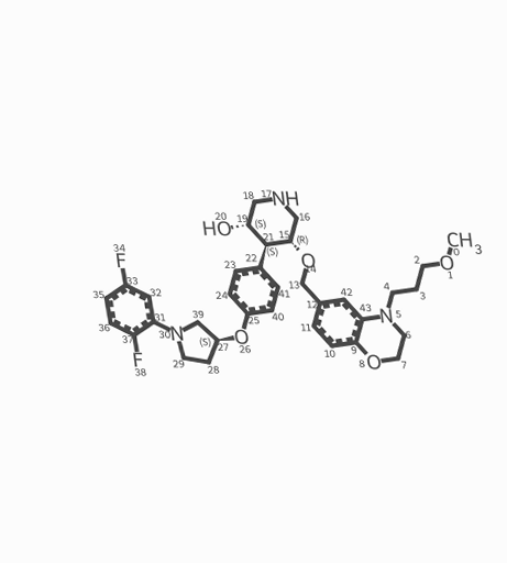 COCCCN1CCOc2ccc(CO[C@H]3CNC[C@@H](O)[C@@H]3c3ccc(O[C@H]4CCN(c5cc(F)ccc5F)C4)cc3)cc21